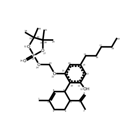 C=C(C)C1CCC(C)=CC1c1c(O)cc(CCCCC)cc1OCOP(=O)(OC(C)(C)C)OC(C)(C)C